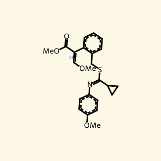 CO/C=C(/C(=O)OC)c1ccccc1CSC(=Nc1ccc(OC)cc1)C1CC1